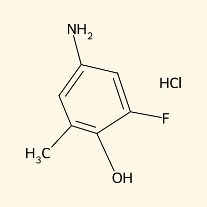 Cc1cc(N)cc(F)c1O.Cl